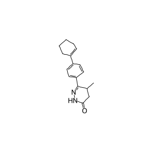 CC1CC(=O)NN=C1c1ccc(C2=CCCCC2)cc1